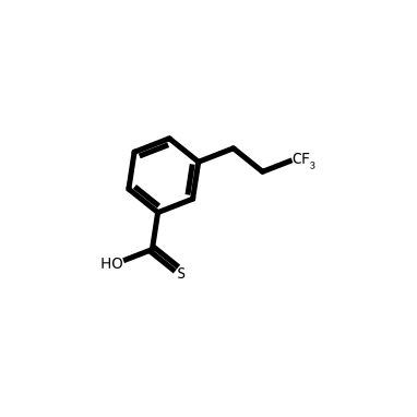 OC(=S)c1cccc(CCC(F)(F)F)c1